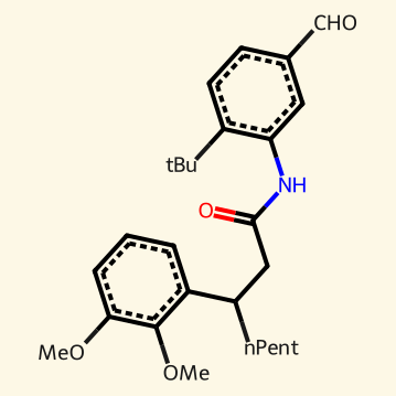 CCCCCC(CC(=O)Nc1cc(C=O)ccc1C(C)(C)C)c1cccc(OC)c1OC